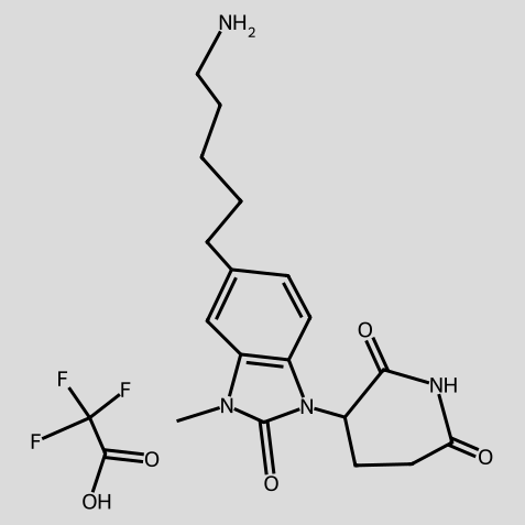 Cn1c(=O)n(C2CCC(=O)NC2=O)c2ccc(CCCCCN)cc21.O=C(O)C(F)(F)F